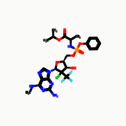 CNc1nc(N)nc2c1ncn2[C@@H]1O[C@H](CO[P@](=O)(NC(C)C(=O)OC(C)C)Oc2ccccc2)[C@@H](O)[C@]1(Cl)C(F)(F)F